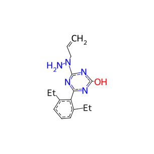 C=CCN(N)c1nc(O)nc(-c2c(CC)cccc2CC)n1